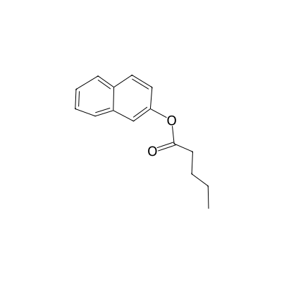 CCCCC(=O)Oc1ccc2ccccc2c1